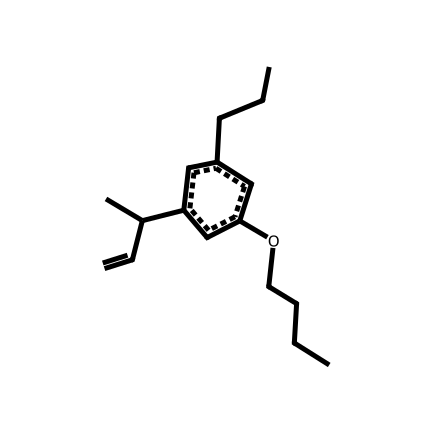 C=C[C](C)c1cc(CCC)cc(OCCCC)c1